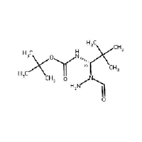 CC(C)(C)OC(=O)N[C@@H](N(N)C=O)C(C)(C)C